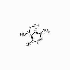 O=[N+]([O-])c1ccc(Cl)cc1.OCCO